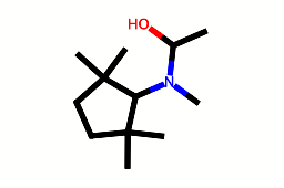 CC(O)N(C)C1C(C)(C)CCC1(C)C